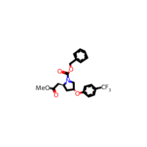 COC(=O)C[C@@H]1C[C@H](Oc2ccc(C(F)(F)F)cc2)CN1C(=O)OCc1ccccc1